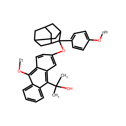 CCCOc1ccc(C2(Oc3ccc4c(OCC)c5ccccc5c(C(C)(C)O)c4c3)C3CC4CC(C3)CC2C4)cc1